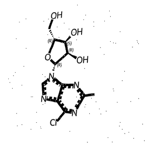 Cc1nc(Cl)c2ncn([C@@H]3O[C@H](CO)[C@@H](O)[C@H]3O)c2n1